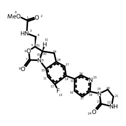 COC(=O)NC[C@@H]1OC(=O)N2c3cc(F)c(-c4ccc(N5CCNC5=O)nc4)cc3C[C@@H]12